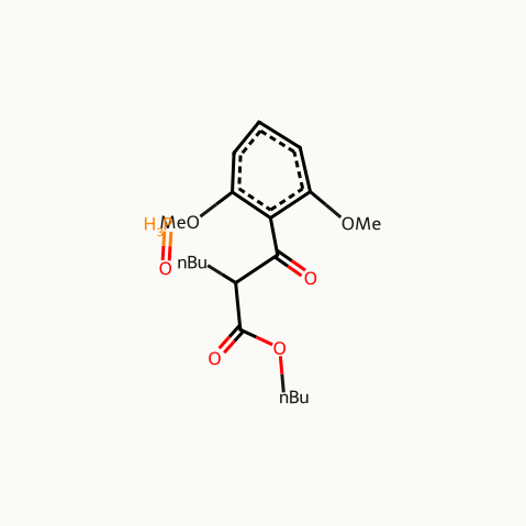 CCCCOC(=O)C(CCCC)C(=O)c1c(OC)cccc1OC.O=[PH3]